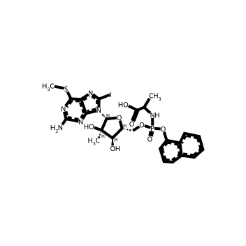 CSc1nc(N)nc2c1nc(I)n2[C@@H]1O[C@H](COP(=O)(NC(C)C(=O)O)Oc2cccc3ccccc23)[C@@H](O)[C@@]1(C)O